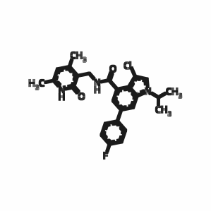 Cc1cc(C)c(CNC(=O)c2cc(-c3ccc(F)cc3)cc3c2c(Cl)cn3C(C)C)c(=O)[nH]1